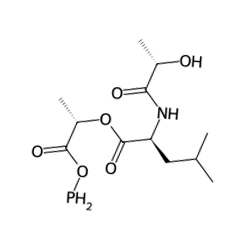 CC(C)C[C@H](NC(=O)[C@H](C)O)C(=O)O[C@@H](C)C(=O)OP